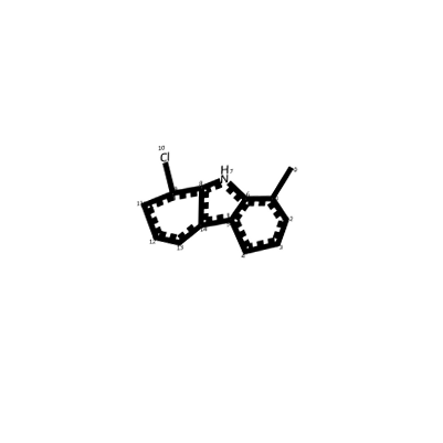 Cc1cccc2c1[nH]c1c(Cl)cccc12